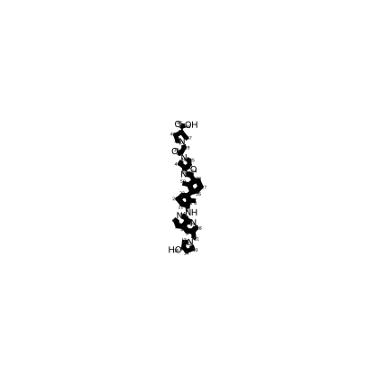 Cc1c(Nc2nccc3cc(CN4CC[C@@H](O)C4)cnc23)cccc1-c1cccc(-c2nc3c(o2)CN(C(=O)CN2CC[C@@H](C(=O)O)C2)C3)c1C